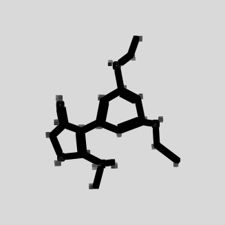 CCOc1cc(OCC)cc(C2=C(N(C)C)OCC2=O)c1